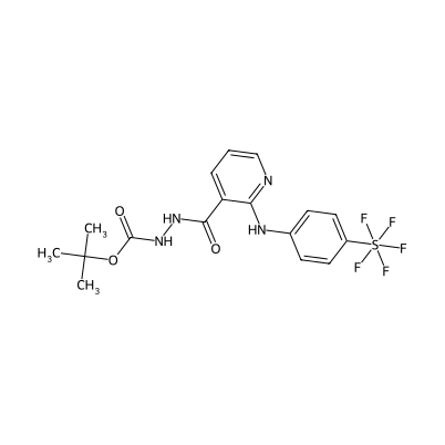 CC(C)(C)OC(=O)NNC(=O)c1cccnc1Nc1ccc(S(F)(F)(F)(F)F)cc1